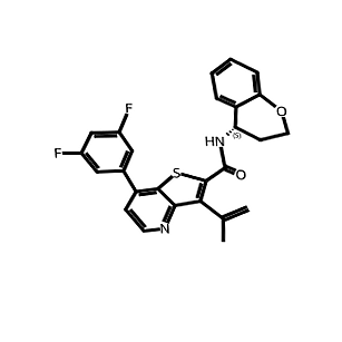 C=C(C)c1c(C(=O)N[C@H]2CCOc3ccccc32)sc2c(-c3cc(F)cc(F)c3)ccnc12